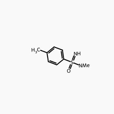 CNS(=N)(=O)c1ccc(C)cc1